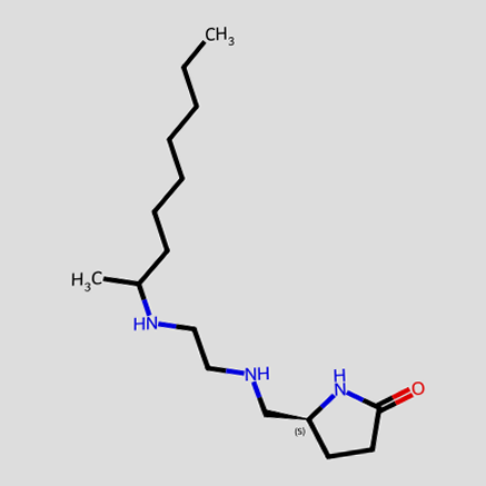 CCCCCCCC(C)NCCNC[C@@H]1CCC(=O)N1